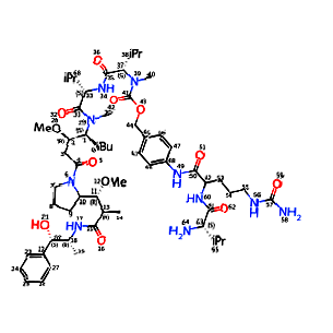 CCC(C)[C@@H]([C@@H](CC(=O)N1CCCC1[C@H](OC)[C@@H](C)C(=O)N[C@H](C)[C@@H](O)c1ccccc1)OC)N(C)C(=O)[C@@H](NC(=O)[C@H](C(C)C)N(C)C(=O)OCc1ccc(NC(=O)C(CCCNC(N)=O)NC(=O)[C@@H](N)C(C)C)cc1)C(C)C